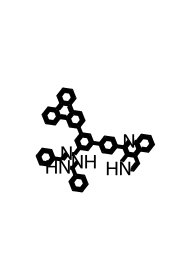 C1=Cc2c(c(-c3ccc(-c4cc(-c5ccc6c7ccccc7c7ccccc7c6c5)cc(C5N=C(c6ccccc6)NC(c6ccccc6)N5)c4)cc3)nc3ccccc23)CN1